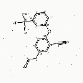 N#Cc1cc(CC=O)ccc1Oc1cccc(C(F)(F)F)c1